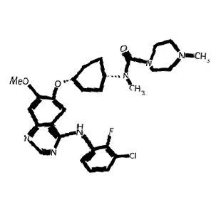 COc1cc2ncnc(Nc3cccc(Cl)c3F)c2cc1O[C@H]1CC[C@@H](N(C)C(=O)N2CCN(C)CC2)CC1